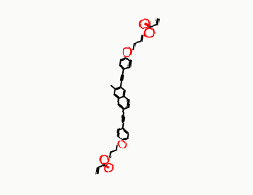 C=CC(=O)OCCCCOc1ccc(C#Cc2ccc3cc(C#Cc4ccc(OCCCCOC(=O)C=C)cc4)c(C)cc3c2)cc1